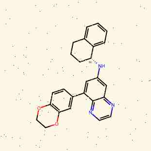 c1ccc2c(c1)CCC[C@H]2Nc1cc(-c2ccc3c(c2)OCCO3)c2nccnc2c1